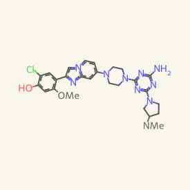 CNC1CCN(c2nc(N)nc(N3CCN(c4ccn5cc(-c6cc(Cl)c(O)cc6OC)nc5c4)CC3)n2)C1